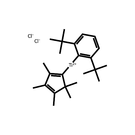 CC1=C(C)C(C)(C)[C]([Ti+2][c]2c(C(C)(C)C)cccc2C(C)(C)C)=C1C.[Cl-].[Cl-]